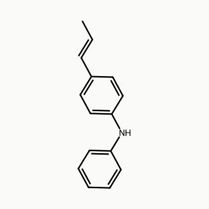 CC=Cc1ccc(Nc2ccccc2)cc1